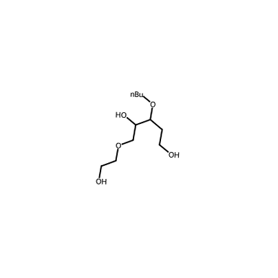 CCCCOC(CCO)C(O)COCCO